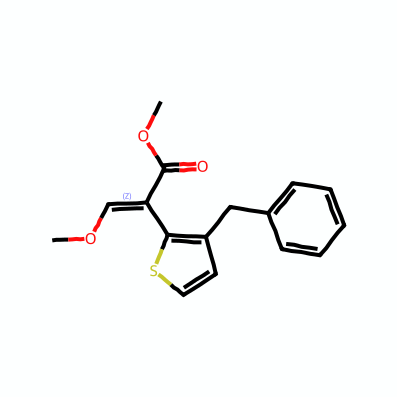 CO/C=C(/C(=O)OC)c1sccc1Cc1ccccc1